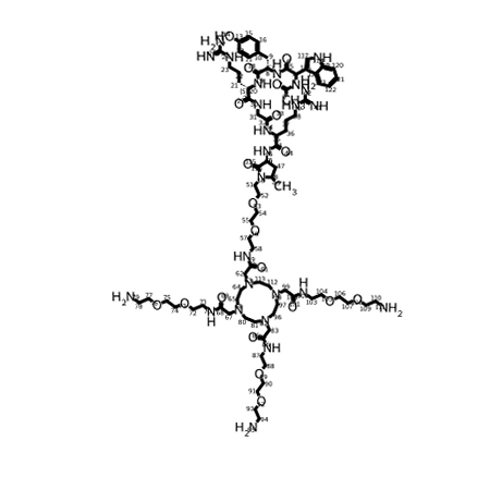 CC(=O)NC(C(=O)N[C@@H](Cc1ccc(O)cc1)C(=O)N[C@@H](CCCNC(=N)N)C(=O)NCC(=O)NC(CCCNC(=N)N)C(=O)N[C@H]1CC(C)N(CCOCCOCCNC(=O)CN2CCN(CC(=O)NCCOCCOCCN)CCN(CC(=O)NCCOCCOCCN)CCN(CC(=O)NCCOCCOCCN)CC2)C1=O)c1c[nH]c2ccccc12